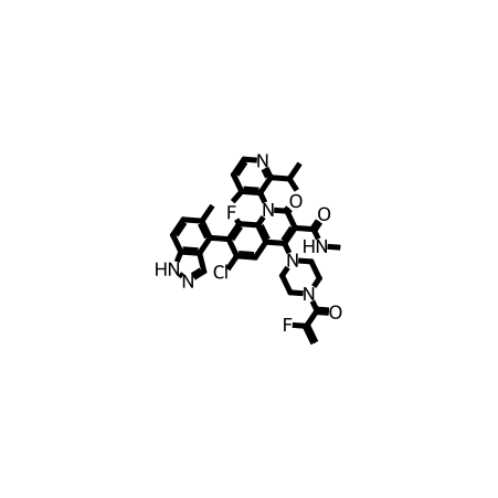 C=C(F)C(=O)N1CCN(c2c(C(=O)NC)c(=O)n(-c3c(C)ccnc3C(C)C)c3c(F)c(-c4c(C)ccc5[nH]ncc45)c(Cl)cc23)CC1